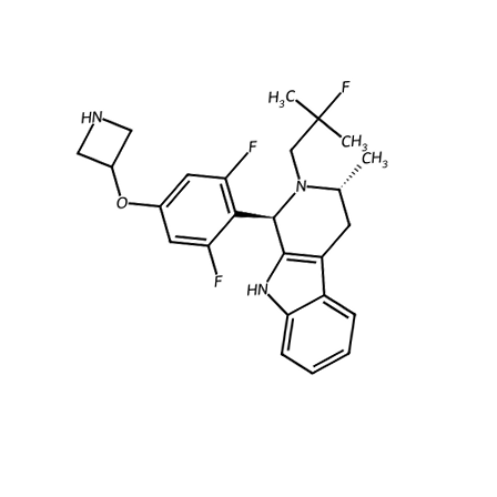 C[C@@H]1Cc2c([nH]c3ccccc23)[C@@H](c2c(F)cc(OC3CNC3)cc2F)N1CC(C)(C)F